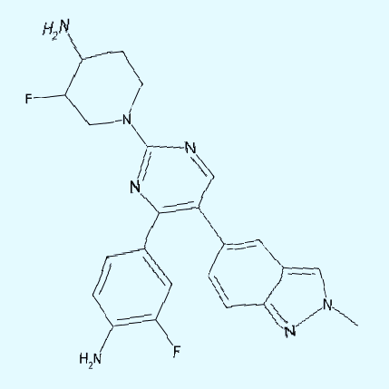 Cn1cc2cc(-c3cnc(N4CCC(N)C(F)C4)nc3-c3ccc(N)c(F)c3)ccc2n1